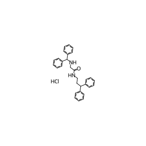 Cl.O=C(CNC(c1ccccc1)c1ccccc1)NCCC(c1ccccc1)c1ccccc1